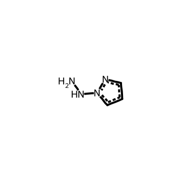 NNn1cccn1